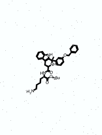 CC(C)(C)OC(=O)C(CCCCN)NC(=O)C1Cc2c([nH]c3ccccc23)C(C)(c2cccc(OCc3ccccc3)c2)N1